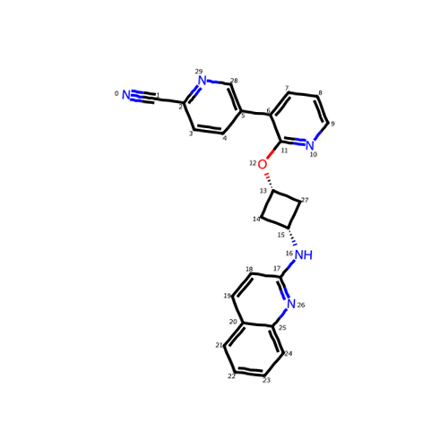 N#Cc1ccc(-c2cccnc2O[C@H]2C[C@@H](Nc3ccc4ccccc4n3)C2)cn1